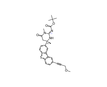 COCC#Cc1ccc2sc3ccc([C@]4(C)CC(=O)N(C)/C(=N\C(=O)OC(C)(C)C)N4)cc3c2c1